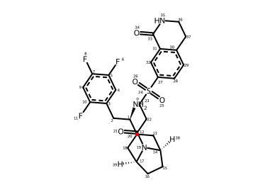 N[C@H](Cc1cc(F)c(F)cc1F)C1C[C@H]2CC[C@@H](C1)N2C(=O)CCS(=O)(=O)c1ccc2c(c1)C(=O)NCC2